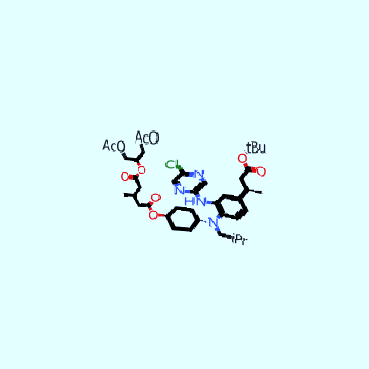 CC(=O)OCC(COC(C)=O)OC(=O)CC(C)CC(=O)O[C@H]1CC[C@H](N(CC(C)C)c2ccc([C@H](C)CC(=O)OC(C)(C)C)cc2Nc2cnc(Cl)cn2)CC1